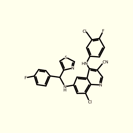 N#Cc1cnc2c(Cl)cc(NC(c3ccc(F)cc3)c3cscn3)cc2c1Nc1ccc(F)c(Cl)c1